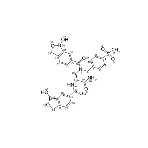 CS(=O)(=O)c1ccc(CN(C[C@H](NC(=O)c2ccc3c(c2)B(O)OC3)C(N)=O)C(=O)c2ccc3c(c2)B(O)OC3)cc1